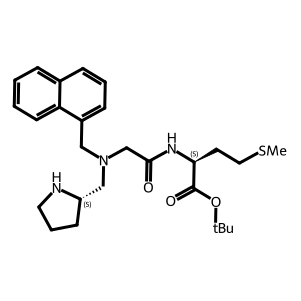 CSCC[C@H](NC(=O)CN(Cc1cccc2ccccc12)C[C@@H]1CCCN1)C(=O)OC(C)(C)C